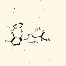 CC[C@@H](N[C@H](C)CC(=O)OC)c1ccc(Cl)c(Oc2ccccc2)c1F